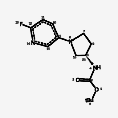 CC(C)(C)OC(=O)N[C@H]1CCN(c2ccc(F)nc2)C1